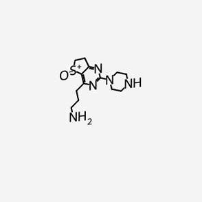 NCCCc1nc(N2CCNCC2)nc2c1[S+]([O-])CC2